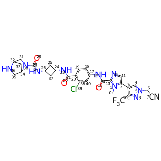 Cn1c(-c2cn(CC#N)nc2C(F)(F)F)cnc1C(=O)Nc1ccc(C(=O)N[C@H]2C[C@@H](NC(=O)N3CC4CC3CN4)C2)c(Cl)c1